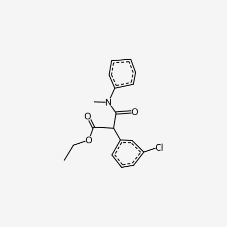 CCOC(=O)C(C(=O)N(C)c1ccccc1)c1cccc(Cl)c1